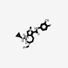 CC(C)C[C@H]1CCC2=C(C(=O)Nc3ccc(F)c(C#N)c3)N(C)CC2[SH](=O)(NC2CC2)N1